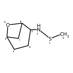 CSNC1CCC2CC1O2